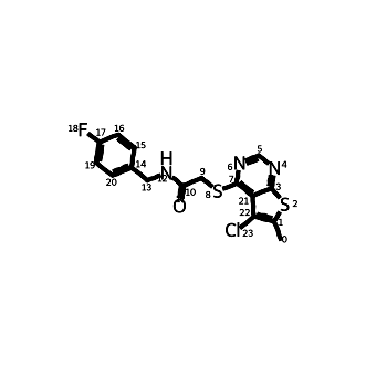 Cc1sc2ncnc(SCC(=O)NCc3ccc(F)cc3)c2c1Cl